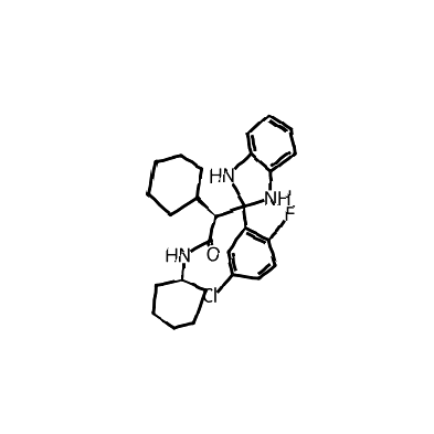 O=C(NC1CCCCC1)[C@@H](C1CCCCC1)C1(c2cc(Cl)ccc2F)Nc2ccccc2N1